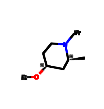 CCO[C@@H]1CCN(C(C)C)[C@H](C)C1